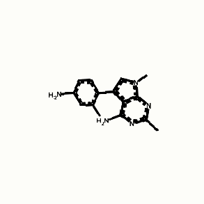 Cc1nc(N)c2c(-c3ccc(N)cc3C)cn(C)c2n1